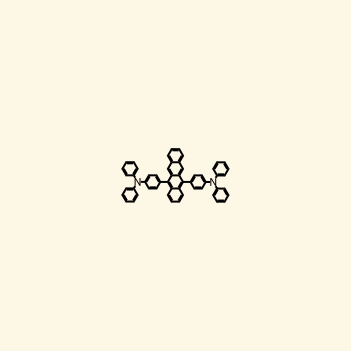 c1ccc(N(c2ccccc2)c2ccc(-c3c4ccccc4c(-c4ccc(N(c5ccccc5)c5ccccc5)cc4)c4cc5ccccc5cc34)cc2)cc1